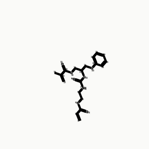 C=CC(=O)OCCNC(=O)OC(COC(=O)C(=C)C)COc1ccccc1